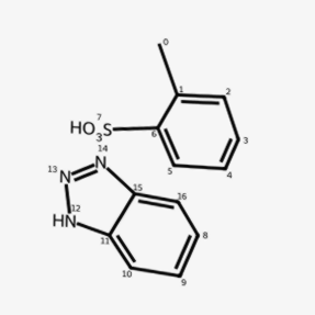 Cc1ccccc1S(=O)(=O)O.c1ccc2[nH]nnc2c1